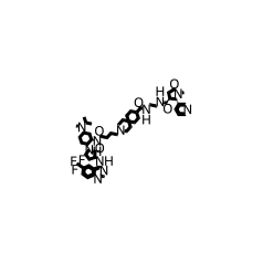 CC(C)N(C)[C@@H]1CC[C@H](N2CC[C@H](Nc3ncnc4ccc(C(F)(F)F)cc34)C2=O)[C@H](NC(=O)CCCN2CCC3(CCC(C(=O)NCCNC(=O)[C@H]4CC(=O)N(C)[C@@H]4c4cccnc4)CC3)CC2)C1